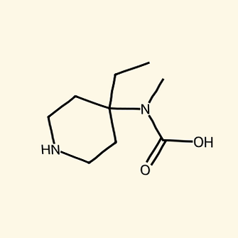 CCC1(N(C)C(=O)O)CCNCC1